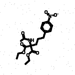 CCOC(=O)C(CCCc1ccc([N+](=O)[O-])cc1)(NC(C)=O)C(=O)OCC